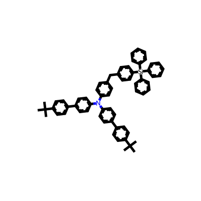 CC(C)(C)c1ccc(-c2ccc(N(c3ccc(Cc4ccc([Si](c5ccccc5)(c5ccccc5)c5ccccc5)cc4)cc3)c3ccc(-c4ccc(C(C)(C)C)cc4)cc3)cc2)cc1